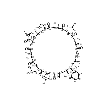 CC(C)C[C@@H]1NC(=O)[C@H](C)N(C)C(=O)CNC(=O)[C@H](Cc2ccccc2)N(C)C(=O)[C@H](C)NC(=O)[C@H](CC(C)C)N(C)C(=O)[C@H](CC(C)C)NC(=O)[C@H](C)N(C)C(=O)C[C@@H](C(=O)N(C)C)NC(=O)[C@H](C(C)C)N(C)C(=O)[C@H](C)NC1=O